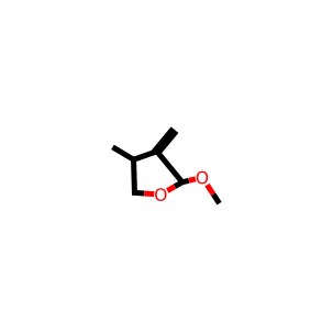 C=C1C(C)COC1OC